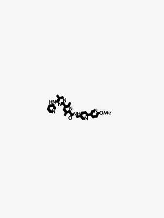 COc1ccc(-c2ccc(CNC(=O)c3nc(C)c(-c4ncc(C)c(Nc5cccnc5)n4)cc3C)cn2)cn1